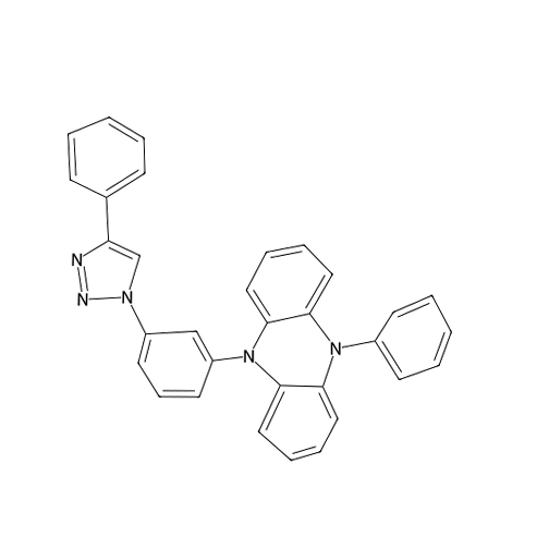 c1ccc(-c2cn(-c3cccc(N4c5ccccc5N(c5ccccc5)c5ccccc54)c3)nn2)cc1